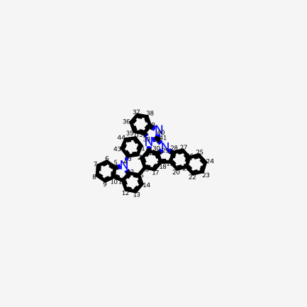 c1ccc(-n2c3ccccc3c3cccc(-c4cc5c6cc7ccccc7cc6n6c5c(c4)n4c5ccccc5nc46)c32)cc1